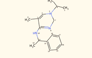 CC1=CN(C(C)C)CN=C1NC(C)c1ccccc1